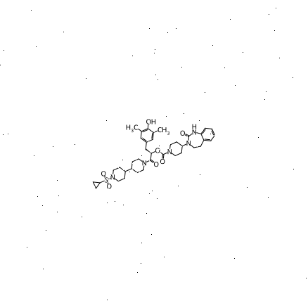 Cc1cc(C[C@@H](OC(=O)N2CCC(N3CCc4ccccc4NC3=O)CC2)C(=O)N2CCC(C3CCN(S(=O)(=O)C4CC4)CC3)CC2)cc(C)c1O